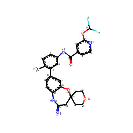 Cc1ccc(NC(=O)c2ccnc(OC(F)F)c2)cc1-c1ccc2c(c1)OC1(CCOCC1)CC(=N)N2